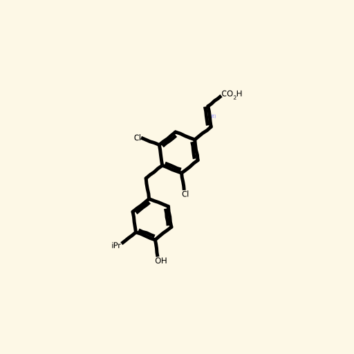 CC(C)c1cc(Cc2c(Cl)cc(/C=C/C(=O)O)cc2Cl)ccc1O